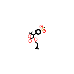 CC1(C)OC(=O)C(OCCC2CC2)=C1c1ccc(S(C)(=O)=O)cc1